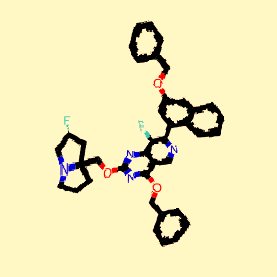 Fc1c(-c2cc(OCc3ccccc3)cc3ccccc23)ncc2c(OCc3ccccc3)nc(OCC34CCCN3C[C@H](F)C4)nc12